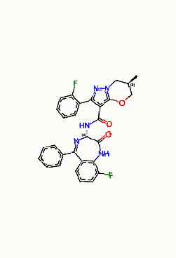 C[C@H]1COc2c(C(=O)N[C@H]3N=C(c4ccccc4)c4cccc(F)c4NC3=O)c(-c3ccccc3F)nn2C1